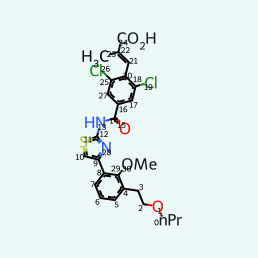 CCCOCCc1cccc(-c2csc(NC(=O)c3cc(Cl)c(C=C(C)C(=O)O)c(Cl)c3)n2)c1OC